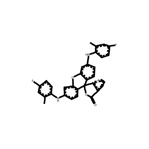 Cc1cc(F)ccc1Nc1ccc2c(c1)Oc1cc(Nc3ccc(F)cc3C)ccc1C21OC(=O)c2ccccc21